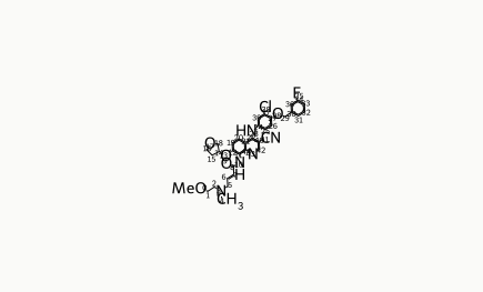 COCCN(C)C/C=C/C(=O)Nc1c(O[C@H]2CCOC2)ccc2c(Nc3ccc(OCc4cccc(F)c4)c(Cl)c3)c(C#N)cnc12